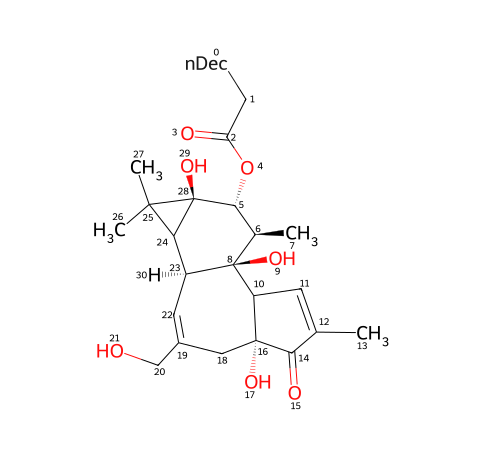 CCCCCCCCCCCC(=O)O[C@@H]1[C@@H](C)[C@]2(O)C3C=C(C)C(=O)[C@@]3(O)CC(CO)=C[C@H]2C2C(C)(C)[C@@]21O